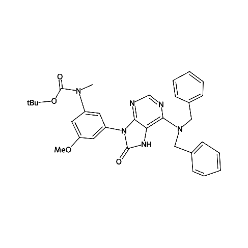 COc1cc(N(C)C(=O)OC(C)(C)C)cc(-n2c(=O)[nH]c3c(N(Cc4ccccc4)Cc4ccccc4)ncnc32)c1